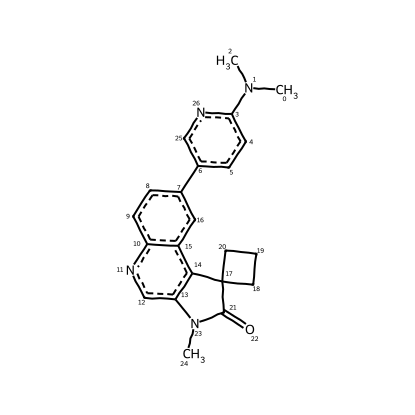 CN(C)c1ccc(-c2ccc3ncc4c(c3c2)C2(CCC2)C(=O)N4C)cn1